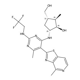 Cc1nc(NCC(F)(F)F)nc(N[C@@H]2C[C@H](CO)[C@@H](C)[C@H]2O)c1-c1nc2c(C)nccc2s1